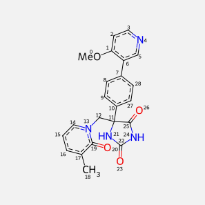 COc1ccncc1-c1ccc(C2(Cn3cccc(C)c3=O)NC(=O)NC2=O)cc1